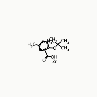 Cc1cc(C)c(OC(C)(C)C)c(C(=O)O)c1.[Zn]